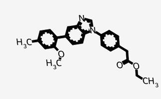 CCOC(=O)Cc1ccc(-n2cnc3cc(-c4ccc(C)cc4OC)ccc32)cc1